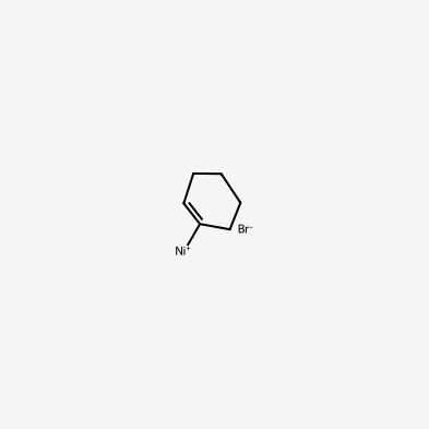 [Br-].[Ni+][C]1=CCCCC1